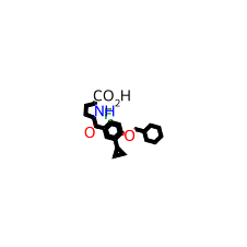 O=C(O)C1CCC(C(=O)c2cc(C3CC3)c(OCC3CCCCC3)cc2F)N1